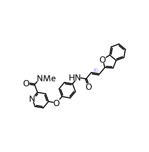 CNC(=O)c1cc(Oc2ccc(NC(=O)/C=C/c3cc4ccccc4o3)cc2)ccn1